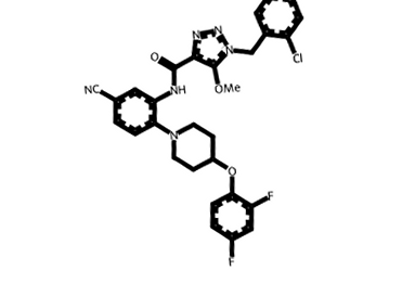 COc1c(C(=O)Nc2cc(C#N)ccc2N2CCC(Oc3ccc(F)cc3F)CC2)nnn1Cc1ccccc1Cl